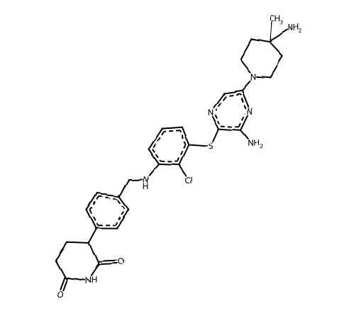 CC1(N)CCN(c2cnc(Sc3cccc(NCc4ccc(C5CCC(=O)NC5=O)cc4)c3Cl)c(N)n2)CC1